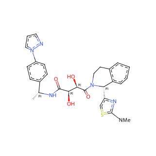 CNc1nc([C@H]2c3ccccc3CCN2C(=O)[C@H](O)[C@@H](O)C(=O)N[C@H](C)c2ccc(-n3cccn3)cc2)cs1